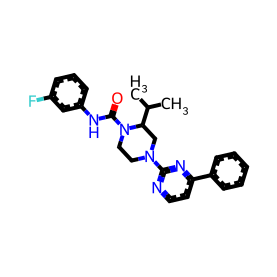 CC(C)C1CN(c2nccc(-c3ccccc3)n2)CCN1C(=O)Nc1cccc(F)c1